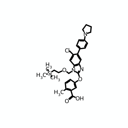 Cc1ccc(Oc2nc3cc(-c4ccc(N5CCCC5)cc4)c(Cl)cc3n2COCC[Si](C)(C)C)cc1C(=O)O